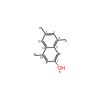 Cc1cc(C)c2cc(O)cc(C)c2c1